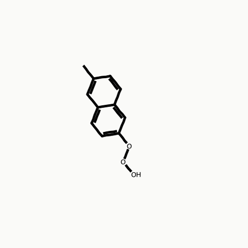 Cc1ccc2cc(OOO)ccc2c1